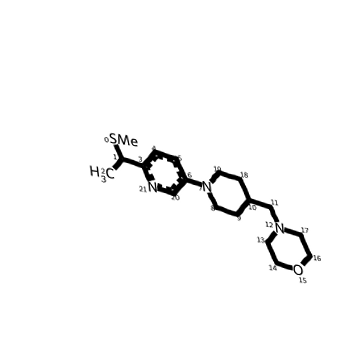 CSC(C)c1ccc(N2CCC(CN3CCOCC3)CC2)cn1